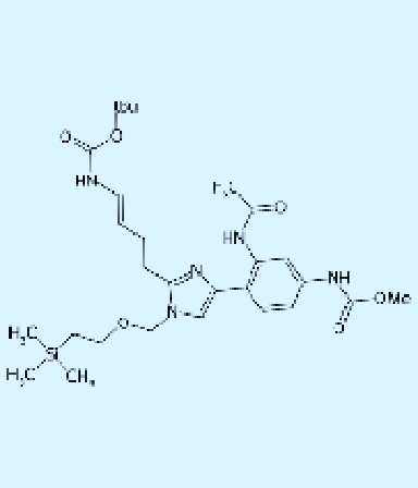 COC(=O)Nc1ccc(-c2cn(COCC[Si](C)(C)C)c(CCC=CNC(=O)OC(C)(C)C)n2)c(NC(=O)C(F)(F)F)c1